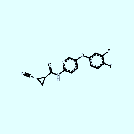 N#C[C@H]1C[C@@H]1C(=O)Nc1ccc(Oc2ccc(F)c(F)c2)cn1